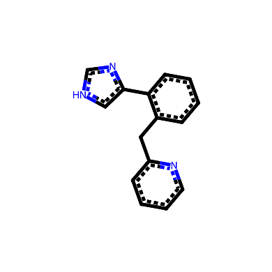 c1ccc(Cc2ccccc2-c2c[nH]cn2)nc1